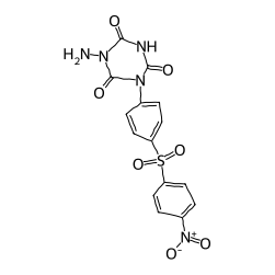 Nn1c(=O)[nH]c(=O)n(-c2ccc(S(=O)(=O)c3ccc([N+](=O)[O-])cc3)cc2)c1=O